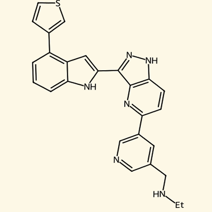 CCNCc1cncc(-c2ccc3[nH]nc(-c4cc5c(-c6ccsc6)cccc5[nH]4)c3n2)c1